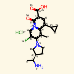 Cc1c(N2CC[C@@H](C(C)N)C2)c(F)cn2c(=O)c(C(=O)O)cc(C3CC3)c12.Cl